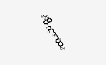 COc1cccc2c([C@@H]3CN(CCCNCc4ccc5cc(O)ccc5n4)C(=O)O3)ccnc12